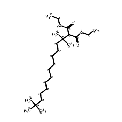 CCOC(=O)C(C(=O)OCC)C(C)(C)CCCCCCCCCCC(C)(C)C